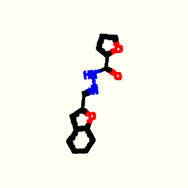 O=C(NN=Cc1cc2ccccc2o1)c1ccco1